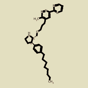 CCCCCCCCc1ccc([C@H]2CCN[C@@H]2COCCCc2cc(-c3ncccn3)nnc2C)cc1